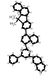 CC1(C)c2cc(-c3ccc(-c4nc(-c5ccccc5)cc(-c5ccc6ccncc6c5)n4)c4ccccc34)ccc2-c2ccc3ccccc3c21